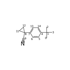 CC(C)(C)c1ccc(C2(C#N)CC2)cc1